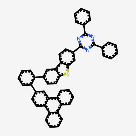 c1ccc(-c2nc(-c3ccccc3)nc(-c3ccc4c(c3)sc3ccc(-c5ccccc5-c5ccc6c7ccccc7c7ccccc7c6c5)cc34)n2)cc1